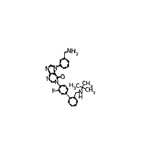 CC(C)(C)NCc1ccccc1-c1ccc(-n2cnc3ncn(-c4cccc(CN)c4)c3c2=O)c(F)c1